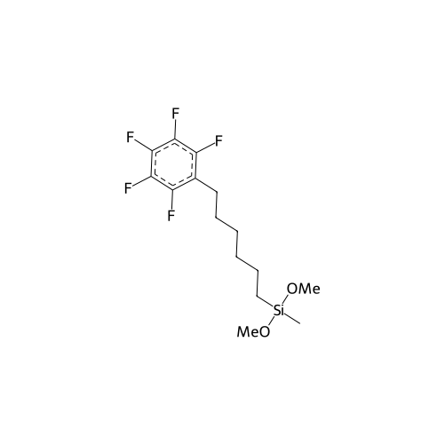 CO[Si](C)(CCCCCCc1c(F)c(F)c(F)c(F)c1F)OC